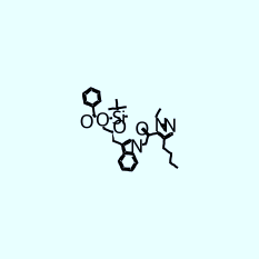 CCCCc1cnn(CC)c1C(=O)Cn1cc(C[C@@H](COC(=O)c2ccccc2)O[Si](C)(C)C(C)(C)C)c2ccccc21